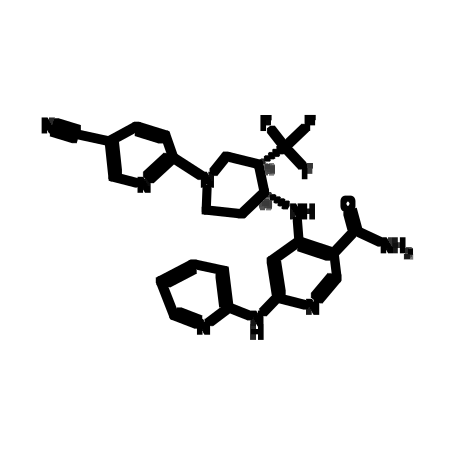 N#Cc1ccc(N2CC[C@@H](Nc3cc(Nc4ccccn4)ncc3C(N)=O)[C@@H](C(F)(F)F)C2)nc1